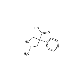 CSCC(CO)(C(=O)O)c1ccccc1